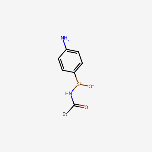 CCC(=O)N[S+]([O-])c1ccc(N)cc1